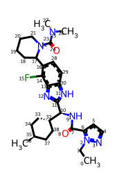 CCn1nccc1C(=O)N[C@H](c1nc2c(F)c(C3CCCCN3C(=O)N(C)C)ccc2[nH]1)[C@H]1CC[C@H](C)CC1